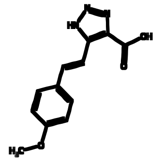 COc1ccc(C=Cc2[nH]nnc2C(=O)O)cc1